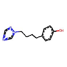 Oc1ccc(CCCCn2cncn2)cc1